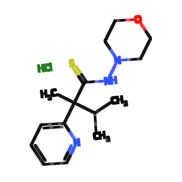 CC(C)C(C)(C(=S)NN1CCOCC1)c1ccccn1.Cl